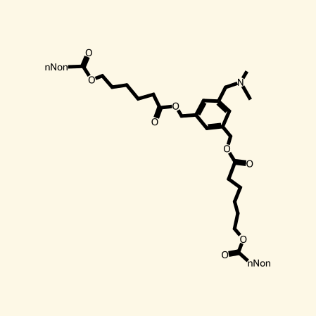 CCCCCCCCCC(=O)OCCCCCC(=O)OCc1cc(COC(=O)CCCCCOC(=O)CCCCCCCCC)cc(CN(C)C)c1